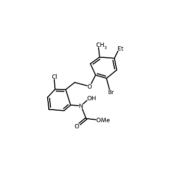 CCc1cc(Br)c(OCc2c(Cl)cccc2N(O)C(=O)OC)cc1C